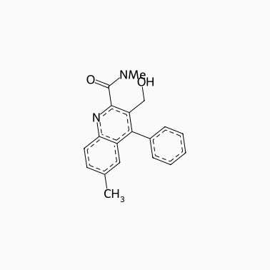 CNC(=O)c1nc2ccc(C)cc2c(-c2ccccc2)c1CO